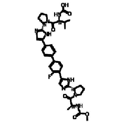 COC(=O)N[C@@H](C)C(=O)N1CCC[C@H]1c1ncc(-c2ccc(-c3ccc(-c4cnc([C@@H]5CCCN5C(=O)[C@@H](NC(=O)O)C(C)C)[nH]4)cc3)cc2F)[nH]1